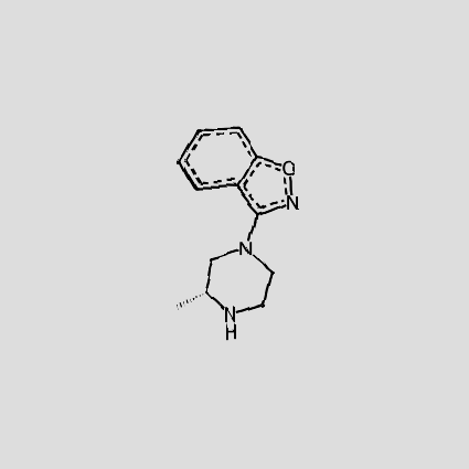 C[C@@H]1CN(c2noc3ccccc23)CCN1